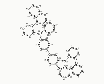 c1ccc(-c2ccccc2-n2c3ccccc3c3ccc(-c4ccc5c(c4)c4ccccc4n5-c4ccccc4-c4cccc5ccccc45)cc32)cc1